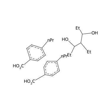 CCC(O)C(CC)C(O)CC.CCCc1ccc(C(=O)O)cc1.CCCc1ccc(C(=O)O)cc1